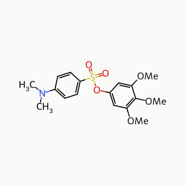 COc1cc(OS(=O)(=O)c2ccc(N(C)C)cc2)cc(OC)c1OC